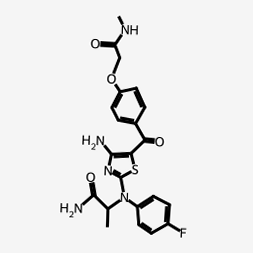 CNC(=O)COc1ccc(C(=O)c2sc(N(c3ccc(F)cc3)C(C)C(N)=O)nc2N)cc1